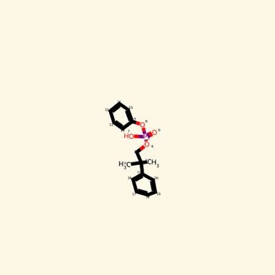 CC(C)(COP(=O)(O)Oc1ccccc1)c1ccccc1